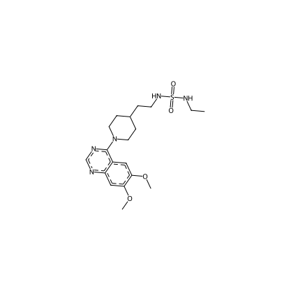 CCNS(=O)(=O)NCCC1CCN(c2ncnc3cc(OC)c(OC)cc23)CC1